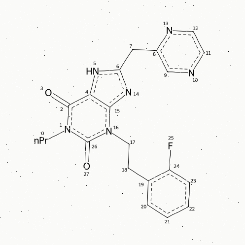 CCCn1c(=O)c2[nH]c(Cc3cnccn3)nc2n(CCc2ccccc2F)c1=O